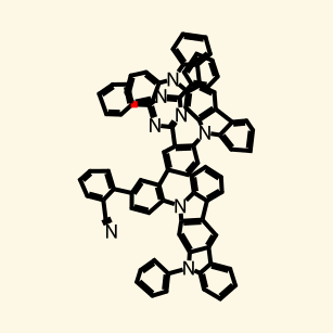 N#Cc1ccccc1-c1ccc(-n2c3ccccc3c3cc4c5ccccc5n(-c5ccccc5)c4cc32)c(-c2ccc(-n3c4ccccc4c4cc5c6ccccc6n(-c6ccccc6)c5cc43)c(-c3nc(-c4ccccc4)nc(-c4ccccc4)n3)c2)c1